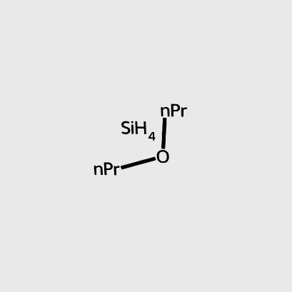 CCCOCCC.[SiH4]